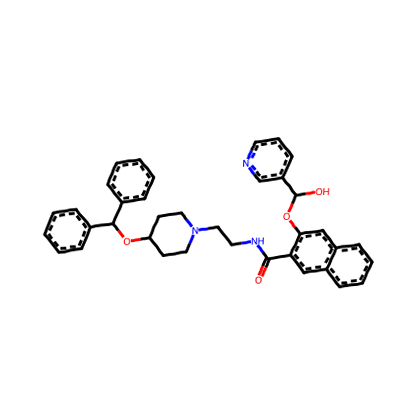 O=C(NCCN1CCC(OC(c2ccccc2)c2ccccc2)CC1)c1cc2ccccc2cc1OC(O)c1cccnc1